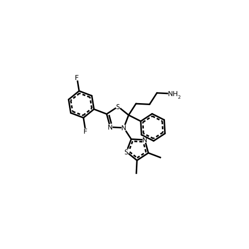 Cc1nc(N2N=C(c3cc(F)ccc3F)SC2(CCCN)c2ccccc2)sc1C